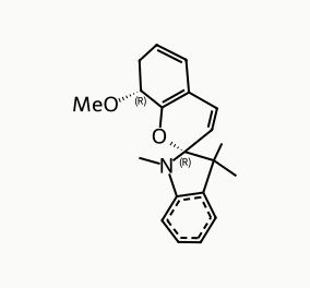 CO[C@@H]1CC=CC2=C1O[C@@]1(C=C2)N(C)c2ccccc2C1(C)C